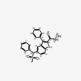 CS(=O)(=O)N(c1ccccc1)c1ccc2sc(C(=O)NO)c(-c3ccccc3)c2c1